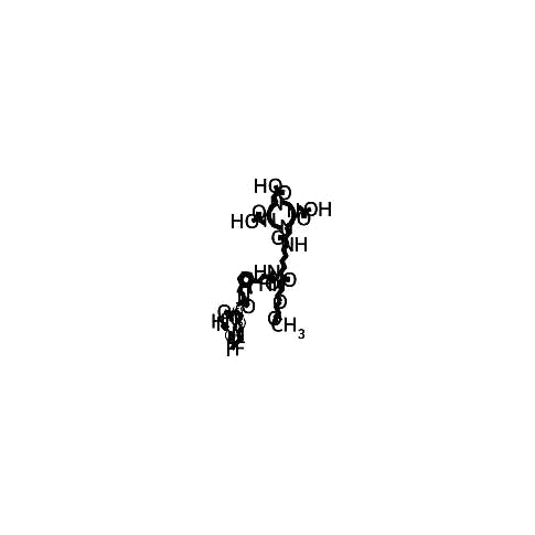 COCCOCCNC(=O)C(CCCCNC(=O)CN1CCN(CC(=O)O)CCN(CC(=O)O)CCN(CC(=O)O)CC1)NC(=O)CCc1cccc2c1CN(C(=O)C[C@@H]1C[C@@H](CN3CC(F)(F)C[C@H]3C#N)NC1=O)C2